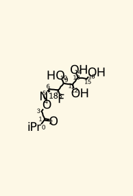 CC(C)C(=O)CO/N=C\C([18F])C(O)C(O)C(O)CO